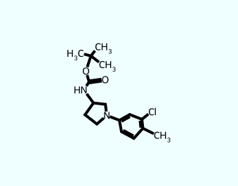 Cc1ccc(N2CCC(NC(=O)OC(C)(C)C)C2)cc1Cl